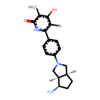 CCc1c(-c2ccc(N3C[C@H]4CC[C@@H](N)[C@H]4C3)cc2)[nH]c(=O)c(C(=O)O)c1O